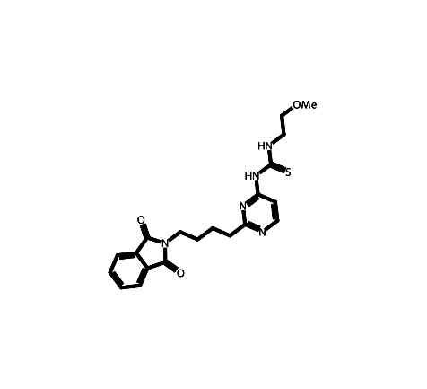 COCCNC(=S)Nc1ccnc(CCCCN2C(=O)c3ccccc3C2=O)n1